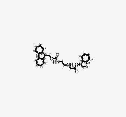 O=C(CNCCNC(=O)OCC1c2ccccc2-c2ccccc21)On1nnc2ccccc21